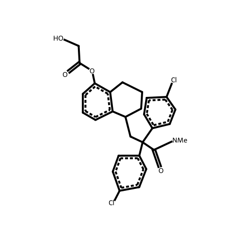 CNC(=O)C(CC1CCCc2c(OC(=O)CO)cccc21)(c1ccc(Cl)cc1)c1ccc(Cl)cc1